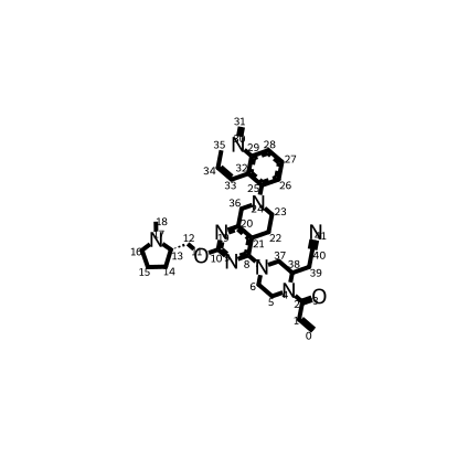 C=CC(=O)N1CCN(c2nc(OC[C@@H]3CCCN3C)nc3c2CCN(c2cccc(N=C)c2/C=C\C)C3)CC1CC#N